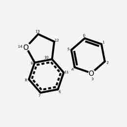 C1=CCOC=C1.c1ccc2c(c1)CCO2